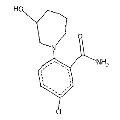 NC(=O)c1cc(Cl)ccc1N1CCCC(O)C1